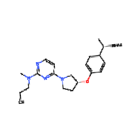 CC(=O)N[C@@H](C)c1ccc(O[C@@H]2CCN(c3ccnc(N(C)CCC#N)n3)C2)cc1